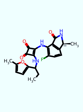 CCC(Nc1c(Nc2c(F)ccc3c2C(=O)N[C@H]3C)c(=O)c1=O)c1ccc(C)o1